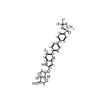 CS(=O)(=NC(F)(F)F)c1ccc(-c2ccc(-c3nc4cc(O[C@@H]5CO[C@H]6[C@@H]5OC[C@H]6O)[nH]c4cc3F)cc2)cc1